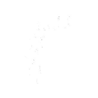 CN(CC1CCN(CC(=O)c2ccc(F)cc2)CC1)C(=O)NCc1ccccn1